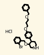 Brc1ccccc1COC1CNCCC1c1ccc(OCCCOCc2ccccc2)cc1.Cl